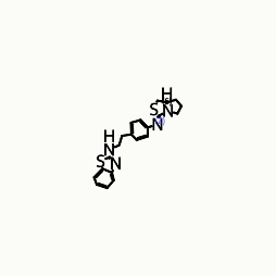 c1ccc2sc(NCCc3ccc(/N=C4\SC[C@@H]5CCCN45)cc3)nc2c1